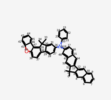 CC1(C)c2cc3ccccc3cc2-c2cc3ccc(N(c4ccccc4)c4ccc5c(c4)C(C)(C)c4c-5ccc5oc6ccccc6c45)cc3cc21